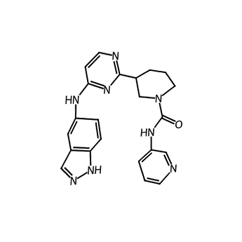 O=C(Nc1cccnc1)N1CCCC(c2nccc(Nc3ccc4[nH]ncc4c3)n2)C1